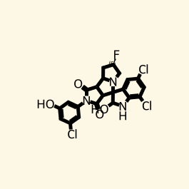 O=C1C2C3C[C@H](F)CN3C3(c4cc(Cl)cc(Cl)c4NC3O)C2C(=O)N1c1cc(O)cc(Cl)c1